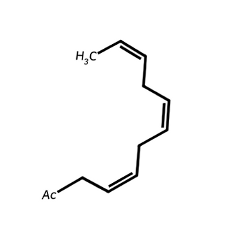 C/C=C\C/C=C\C/C=C\CC(C)=O